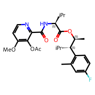 COc1ccnc(C(=O)N[C@H](C(=O)O[C@@H](C)[C@H](c2ccc(F)cc2C)C(C)C)C(C)C)c1OC(C)=O